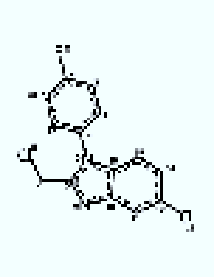 Fc1ccc(-n2c(CCl)nc3cc(Cl)ccc32)cn1